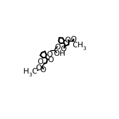 CCOC(=O)c1cc(=O)c2c(OCC(O)COc3cccc4oc(C(C)=O)cc(=O)c34)cccc2o1